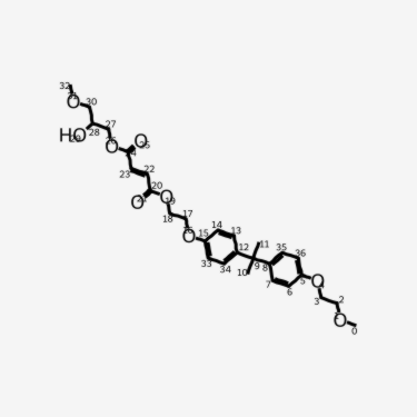 COCCOc1ccc(C(C)(C)c2ccc(OCCOC(=O)/C=C/C(=O)OCC(O)COC)cc2)cc1